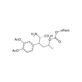 CCCCCOC(=O)OC(C)CC(c1ccc(OC(C)=O)c(OC(C)=O)c1)[C@H](N)C(=O)O